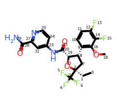 CC[C@@]1(C(F)(F)F)C[C@@H](c2ccc(F)c(F)c2OC)[C@@H](C(=O)Nc2ccnc(C(N)=O)c2)O1